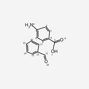 Nc1ccc(C(=O)O)cc1.O=Cc1ccccc1